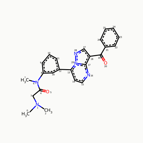 CN(C)CC(=O)N(C)c1cccc(-c2ccnc3c(C(=O)c4ccccc4)cnn23)c1